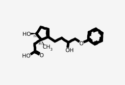 C[C@@]1(CC(=O)O)C(CCC(O)COc2ccccc2)=CC[C@@H]1O